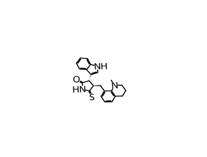 CN1CCCc2cccc(C[C@H]3C(=S)NC(=O)[C@@H]3c3c[nH]c4ccccc34)c21